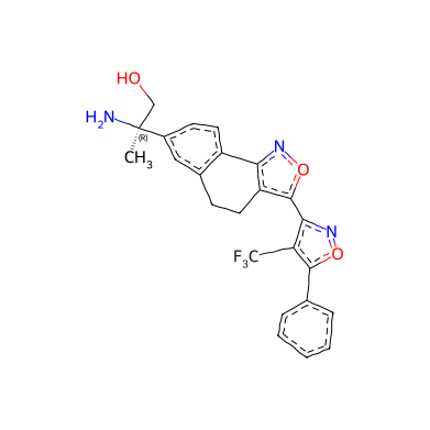 C[C@](N)(CO)c1ccc2c(c1)CCc1c-2noc1-c1noc(-c2ccccc2)c1C(F)(F)F